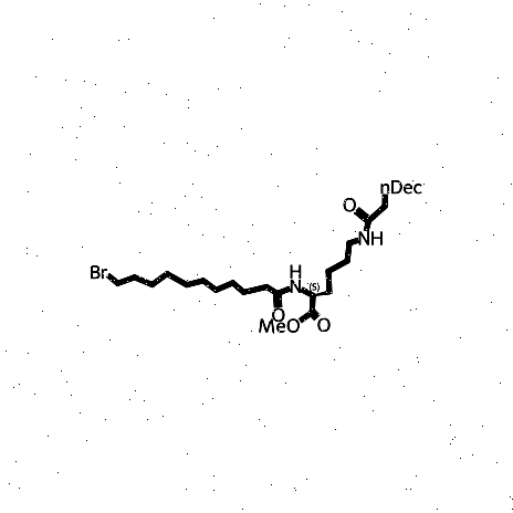 CCCCCCCCCCCC(=O)NCCCC[C@H](NC(=O)CCCCCCCCCCBr)C(=O)OC